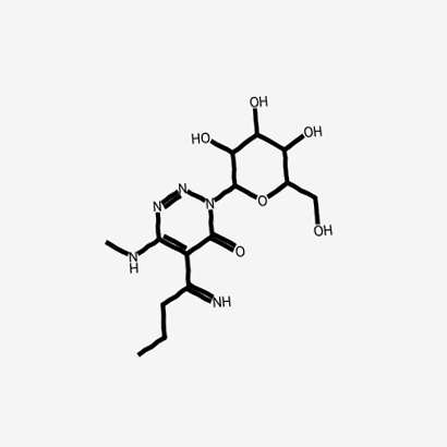 CCCC(=N)c1c(NC)nnn(C2OC(CO)C(O)C(O)C2O)c1=O